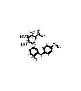 CCOc1ccc(Cc2cc([C@@H]3O[C@H](N(C)C(C)=O)[C@@H](O)[C@H](O)[C@H]3O)ccc2Cl)cc1